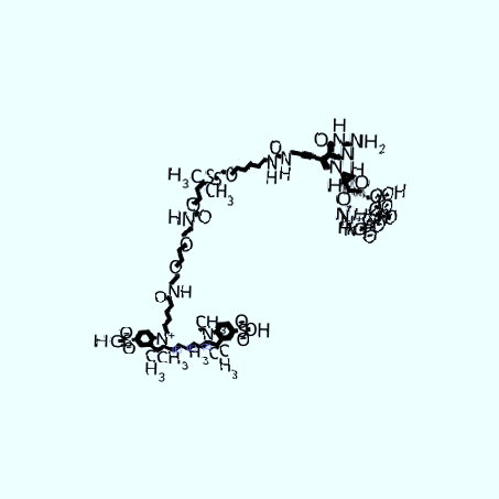 CCN1\C(=C/C=C/C=C/C2=[N+](CCCCCC(=O)NCCOCCOCCNC(=O)OCCC(C)(C)SSCOCCCCCNC(=O)NCC#Cc3cn(C4[C@H]5[C@H](OCN=[N+]=[N-])[C@@H](COP(=O)(O)OP(=O)(O)OP(=O)(O)O)O[C@@H]45)c4nc(N)[nH]c(=O)c34)c3ccc(S(=O)(=O)O)cc3C2(C)C)C(C)(C)c2cc(S(=O)(=O)O)ccc21